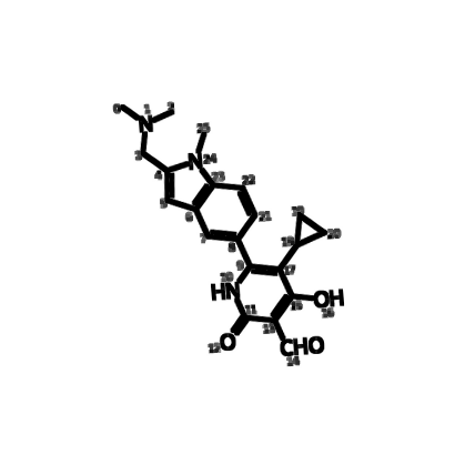 CN(C)Cc1cc2cc(-c3[nH]c(=O)c(C=O)c(O)c3C3CC3)ccc2n1C